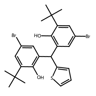 CC(C)(C)c1cc(Br)cc(C(c2cccs2)c2cc(Br)cc(C(C)(C)C)c2O)c1O